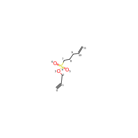 C#CCOS(=O)(=O)CCCC=C